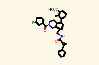 Cc1c(C(=O)O)cccc1-c1ccc(CNC(=O)C2CC2c2ccccc2)c2c1CCN(C(=O)c1cccc(F)c1)C2